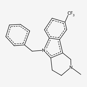 CN1CCc2c(c3cc(C(F)(F)F)ccc3n2Cc2ccccc2)C1